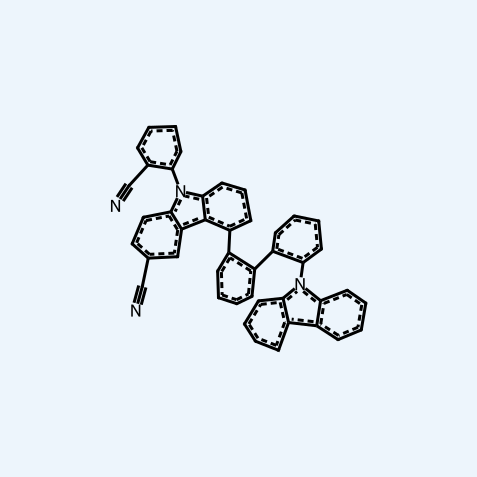 N#Cc1ccc2c(c1)c1c(-c3ccccc3-c3ccccc3-n3c4ccccc4c4ccccc43)cccc1n2-c1ccccc1C#N